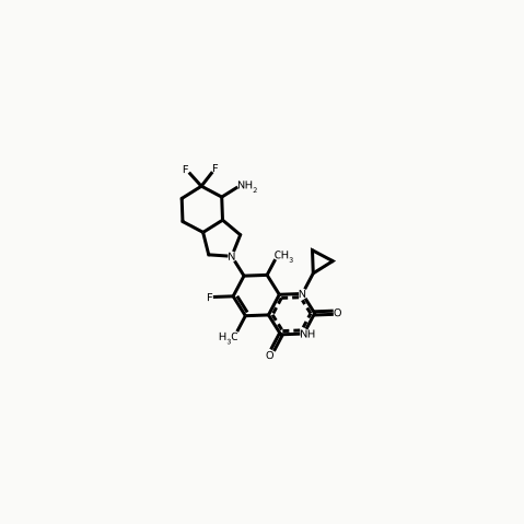 CC1=C(F)C(N2CC3CCC(F)(F)C(N)C3C2)C(C)c2c1c(=O)[nH]c(=O)n2C1CC1